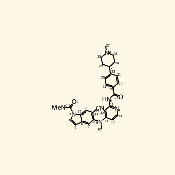 CNC(=O)n1ccc2cc(N(C)c3ccnc(NC(=O)c4ccc(C5CCN(C)CC5)cc4)c3)c(C#N)cc21